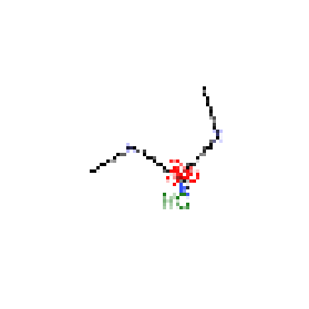 CCCCCCCC/C=C\CCCCCCCC(=O)OC1(OC(=O)CCCCCCC/C=C\CCCCCCCC)CC1.CN(C)C.Cl